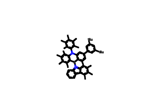 Cc1c(C)c(C)c(N2c3cc(-c4cc(C(C)(C)C)cc(C(C)(C)C)c4)cc4c3B(c3c(C)c(C)c(C)c(C)c32)n2c3ccccc3c3c(C)c(C)c(C)c-4c32)c(C)c1C